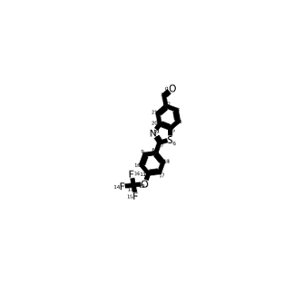 O=Cc1ccc2sc(-c3ccc(OC(F)(F)F)cc3)nc2c1